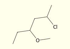 CCC(CC(C)Cl)OC